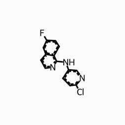 Fc1ccc2c(Nc3ccc(Cl)nc3)nccc2c1